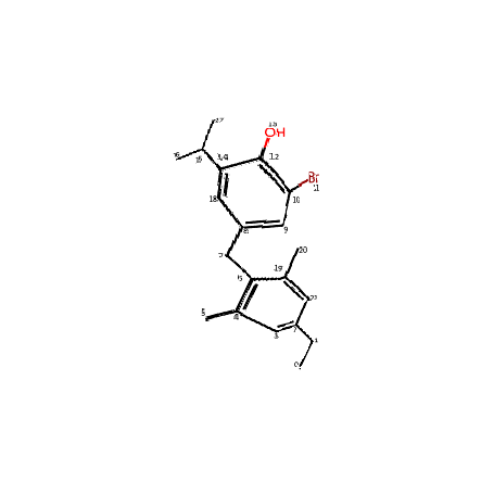 [CH2]Cc1cc(C)c(Cc2cc(Br)c(O)c(C(C)C)c2)c(C)c1